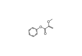 C=C(OC)C(=O)Oc1ccccc1